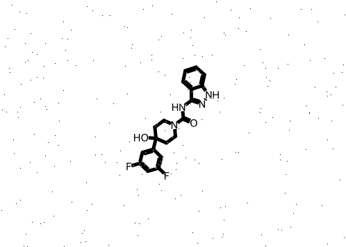 O=C(Nc1n[nH]c2ccccc12)N1CCC(O)(c2cc(F)cc(F)c2)CC1